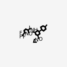 Cc1ccc(-c2cc(C(=O)N[C@H](C)c3ccc(C(F)(F)F)nc3)cc(C(=O)N3CCC3)c2)cc1